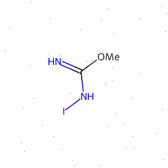 COC(=N)NI